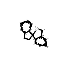 c1ccc2c(c1)CCC21OCc2ccccc21